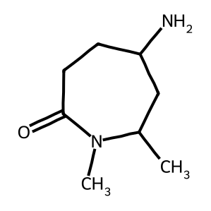 CC1CC(N)CCC(=O)N1C